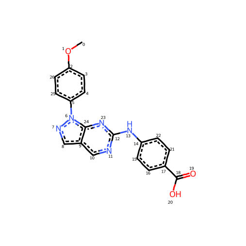 COc1ccc(-n2ncc3cnc(Nc4ccc(C(=O)O)cc4)nc32)cc1